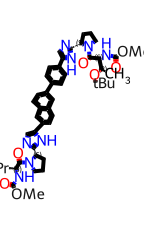 COC(=O)N[C@H](C(=O)N1CCC[C@H]1c1ncc(-c2ccc3cc(-c4ccc(-c5cnc([C@@H]6CCCN6C(=O)[C@@H](NC(=O)OC)[C@@H](C)OC(C)(C)C)[nH]5)cc4)ccc3c2)[nH]1)C(C)C